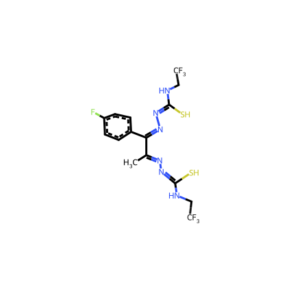 CC(=N\N=C(/S)NCC(F)(F)F)/C(=N/N=C(\S)NCC(F)(F)F)c1ccc(F)cc1